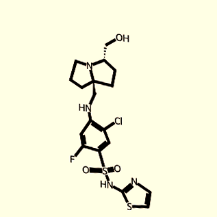 O=S(=O)(Nc1nccs1)c1cc(Cl)c(NC[C@@]23CCCN2[C@H](CO)CC3)cc1F